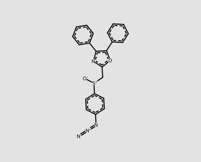 [N-]=[N+]=Nc1ccc([S+]([O-])Cc2nc(-c3ccccc3)c(-c3ccccc3)o2)cc1